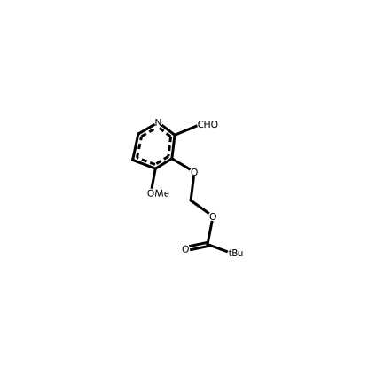 COc1ccnc(C=O)c1OCOC(=O)C(C)(C)C